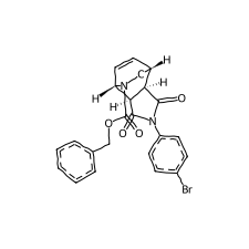 O=C1[C@@H]2[C@H](C(=O)N1c1ccc(Br)cc1)[C@H]1C=C[C@@H]2N(C(=O)OCc2ccccc2)C1